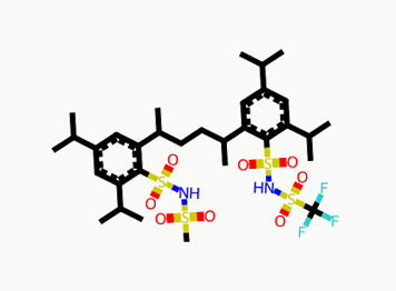 CC(C)c1cc(C(C)C)c(S(=O)(=O)NS(C)(=O)=O)c(C(C)CCC(C)c2cc(C(C)C)cc(C(C)C)c2S(=O)(=O)NS(=O)(=O)C(F)(F)F)c1